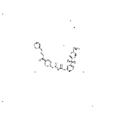 COc1ccc(S(=O)(=O)c2cc(CNOC(=O)CC3CCN(C(=O)CCCc4ccccc4)CC3)ccn2)cc1